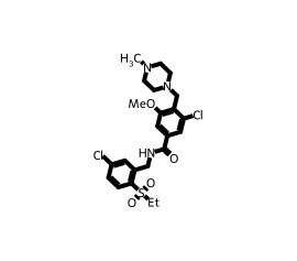 CCS(=O)(=O)c1ccc(Cl)cc1CNC(=O)c1cc(Cl)c(CN2CCN(C)CC2)c(OC)c1